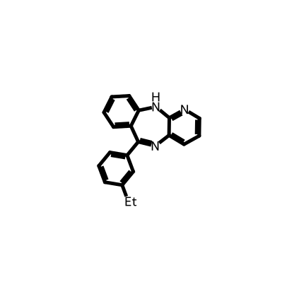 CCc1cccc(C2=Nc3cccnc3Nc3ccccc32)c1